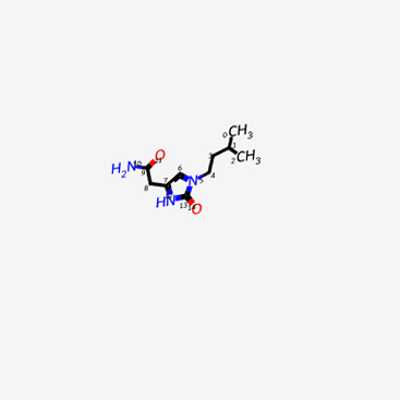 CC(C)CCn1cc(CC(N)=O)[nH]c1=O